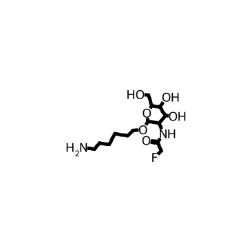 NCCCCCCOC1OC(CO)C(O)C(O)C1NC(=O)CF